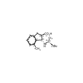 Cc1cccc2c1[C@@H](N[S@@+]([O-])C(C)(C)C)[C@H](C(=O)O)C2